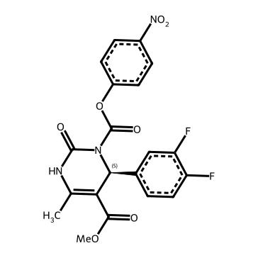 COC(=O)C1=C(C)NC(=O)N(C(=O)Oc2ccc([N+](=O)[O-])cc2)[C@H]1c1ccc(F)c(F)c1